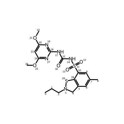 CCCN1Cc2cc(C)cc(S(=O)(=O)NC(=O)Nc3nc(OC)cc(OC)n3)c2S1